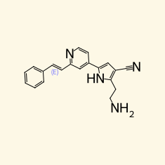 N#Cc1cc(-c2ccnc(/C=C/c3ccccc3)c2)[nH]c1CCN